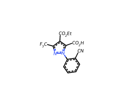 CCOC(=O)c1c(C(F)(F)F)nn(-c2ccccc2C#N)c1C(=O)O